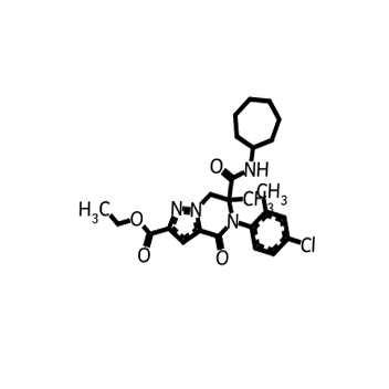 CCOC(=O)c1cc2n(n1)CC(C)(C(=O)NC1CCCCCC1)N(c1ccc(Cl)cc1C)C2=O